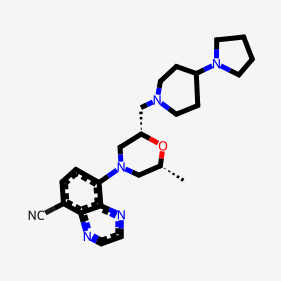 C[C@@H]1CN(c2ccc(C#N)c3nccnc23)C[C@H](CN2CCC(N3CCCC3)CC2)O1